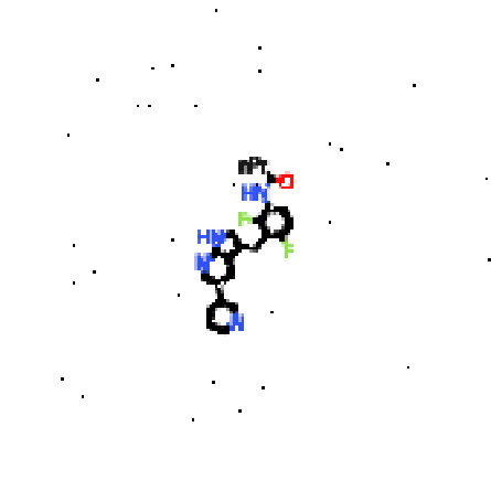 CCCC(=O)Nc1ccc(F)c(Cc2c[nH]c3ncc(-c4cccnc4)cc23)c1F